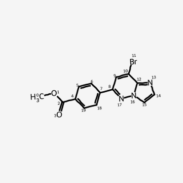 COC(=O)c1ccc(-c2cc(Br)c3nccn3n2)cc1